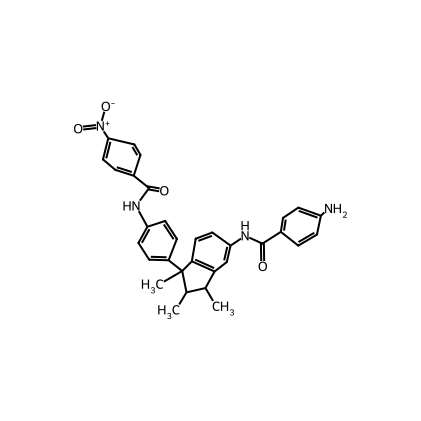 CC1c2cc(NC(=O)c3ccc(N)cc3)ccc2C(C)(c2ccc(NC(=O)c3ccc([N+](=O)[O-])cc3)cc2)C1C